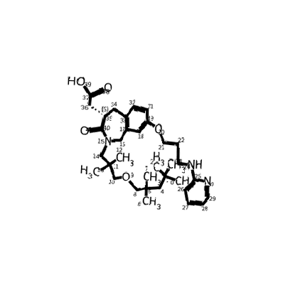 CC(C)(C)CC(C)(C)COCC(C)(C)CN1Cc2cc(OCCCNc3ccccn3)ccc2C[C@@H](CC(=O)O)C1=O